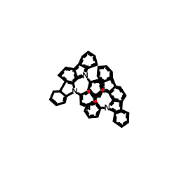 C1=CCC2C(=C1)N(c1cncc(-n3c4ccccc4c4ccc5c6ccccc6n(-c6ccccc6)c5c43)c1)c1c2ccc2c3ccccc3n(-c3ccccc3)c12